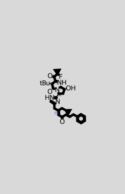 CC(C)(C)[C@H](C(=N)C(=O)C1(F)CC1)C(=O)N1C[C@H](O)C[C@H]1c1nc(C/C(=C/C(=O)CCCc2ccccc2)CC2CC2)c[nH]1